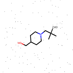 CC(C)(C=O)CN1CCC(CO)CC1